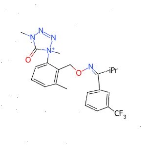 Cc1cccc([N+]2(C)N=NN(C)C2=O)c1CON=C(c1cccc(C(F)(F)F)c1)C(C)C